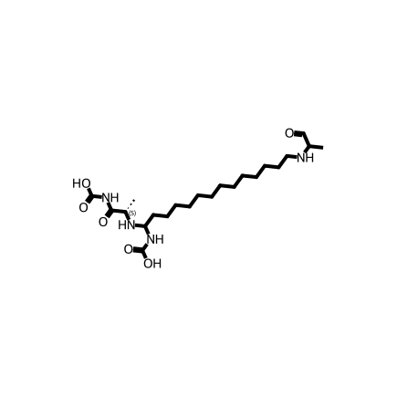 CC(C=O)NCCCCCCCCCCCCCC(NC(=O)O)N[C@@H](C)C(=O)NC(=O)O